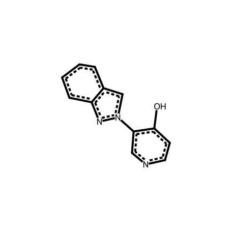 Oc1ccncc1-n1cc2ccccc2n1